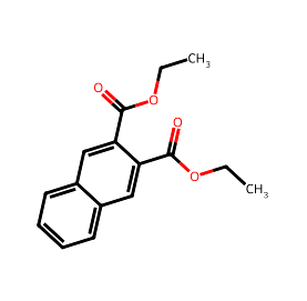 CCOC(=O)c1cc2ccccc2cc1C(=O)OCC